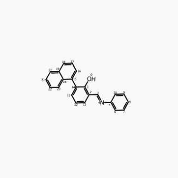 Oc1c(/C=N/c2ccccc2)cccc1-c1cccc2ccccc12